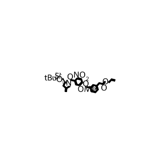 C=CCOC(=O)Cc1cccc(COc2cc([N+](=O)[O-])c(C(=O)N3CC(=C)C[C@H]3CO[Si](C)(C)C(C)(C)C)cc2OC)c1